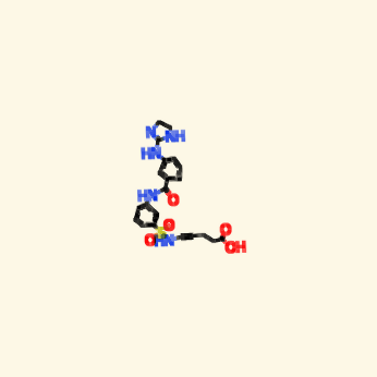 O=C(O)CCC#CNS(=O)(=O)c1cccc(NC(=O)c2cccc(NC3=NCCN3)c2)c1